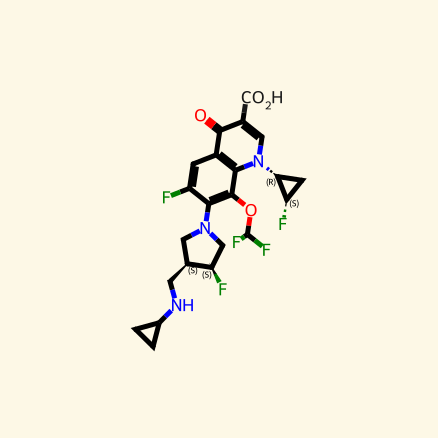 O=C(O)c1cn([C@@H]2C[C@@H]2F)c2c(OC(F)F)c(N3C[C@H](CNC4CC4)[C@H](F)C3)c(F)cc2c1=O